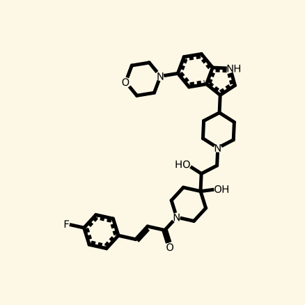 O=C(C=Cc1ccc(F)cc1)N1CCC(O)(C(O)CN2CCC(c3c[nH]c4ccc(N5CCOCC5)cc34)CC2)CC1